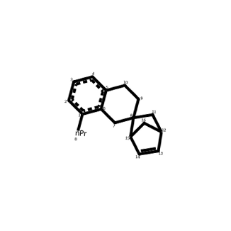 CCCc1cccc2c1CC1(CC2)CC2C=CC1C2